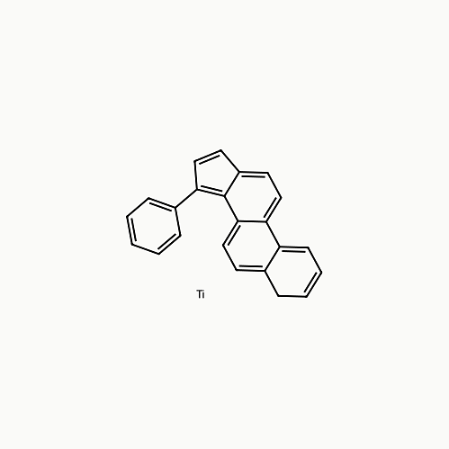 C1=CCc2ccc3c4c(ccc3c2=C1)C=CC=4c1ccccc1.[Ti]